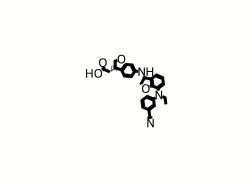 CCN(c1cccc(C#N)c1)c1cccc2c1OCC2Nc1ccc2c(c1)OC[C@H]2CC(=O)O